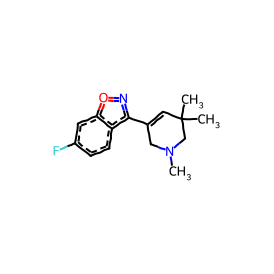 CN1CC(c2noc3cc(F)ccc23)=CC(C)(C)C1